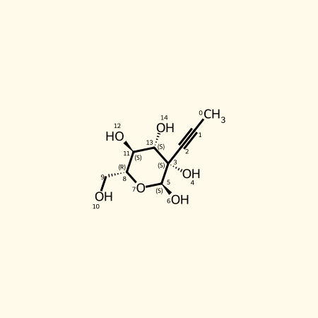 CC#C[C@@]1(O)[C@@H](O)O[C@H](CO)[C@@H](O)[C@@H]1O